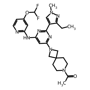 CCc1nn(C)cc1-c1nc(Nc2cc(OC(F)F)ccn2)cc(N2CC3(CCN(C(C)=O)CC3)C2)n1